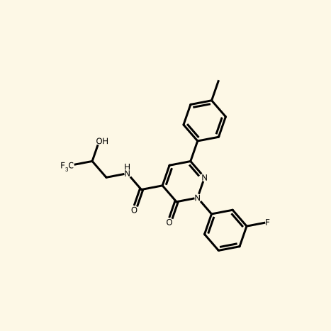 Cc1ccc(-c2cc(C(=O)NCC(O)C(F)(F)F)c(=O)n(-c3cccc(F)c3)n2)cc1